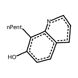 CCCCCc1c(O)ccc2cccnc12